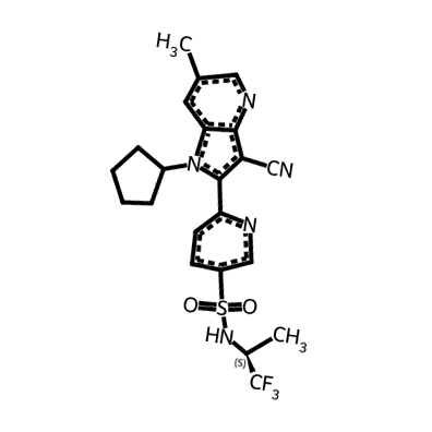 Cc1cnc2c(C#N)c(-c3ccc(S(=O)(=O)N[C@@H](C)C(F)(F)F)cn3)n(C3CCCC3)c2c1